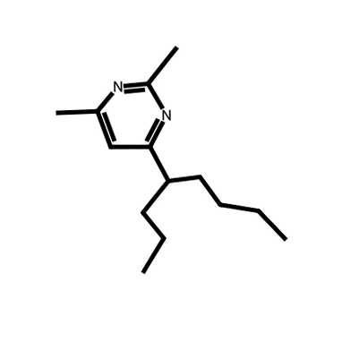 CCCCC(CCC)c1cc(C)nc(C)n1